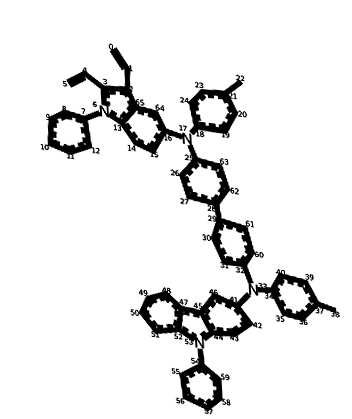 C=Cc1c(C=C)n(-c2ccccc2)c2ccc(N(c3ccc(C)cc3)c3ccc(-c4ccc(N(c5ccc(C)cc5)c5ccc6c(c5)c5ccccc5n6-c5ccccc5)cc4)cc3)cc12